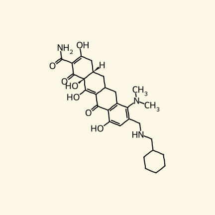 CN(C)c1c(CNCC2CCCCC2)cc(O)c2c1CC1C[C@H]3CC(O)=C(C(N)=O)C(=O)[C@@]3(O)C(O)=C1C2=O